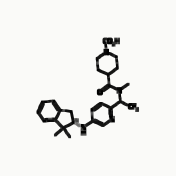 CN(C(=O)C1CCN(C(=O)O)CC1)C(c1ccc(N[C@H]2Cc3ccccc3C2(C)C)cn1)C(F)(F)F